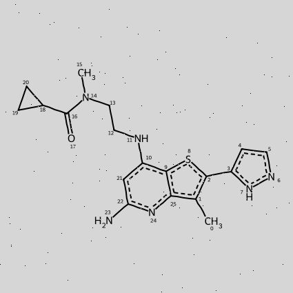 Cc1c(-c2ccn[nH]2)sc2c(NCCN(C)C(=O)C3CC3)cc(N)nc12